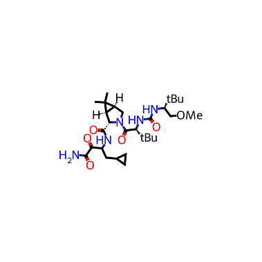 COC[C@@H](NC(=O)N[C@H](C(=O)N1C[C@H]2[C@@H]([C@H]1C(=O)NC(CC1CC1)C(=O)C(N)=O)C2(C)C)C(C)(C)C)C(C)(C)C